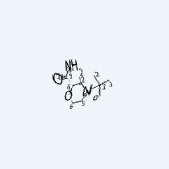 CC(C)(C)N1CCO[C@H](C(N)=O)C1